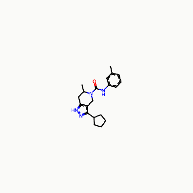 Cc1cccc(NC(=O)N2Cc3c(C4CCCC4)n[nH]c3CC2C)c1